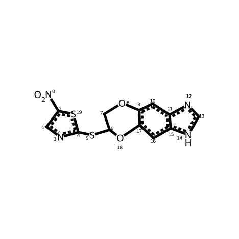 O=[N+]([O-])c1cnc(SC2COc3cc4nc[nH]c4cc3O2)s1